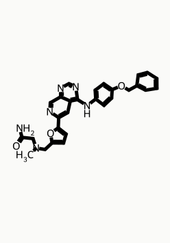 CN(CC(N)=O)Cc1ccc(-c2cc3c(Nc4ccc(OCc5ccccc5)cc4)ncnc3cn2)o1